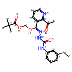 CSc1cccc(NC(=O)NN=C(OCOC(=O)C(C)(C)C)c2cccnc2C(C)=O)c1